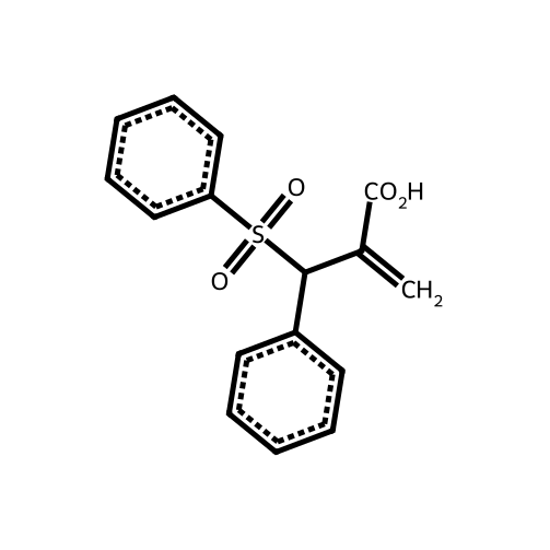 C=C(C(=O)O)C(c1ccccc1)S(=O)(=O)c1ccccc1